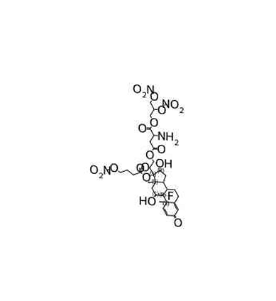 C[C@]12C=CC(=O)C=C1CCC1C3C[C@@H](O)[C@](OC(=O)CCCO[N+](=O)[O-])(C(=O)COC(=O)CC(N)C(=O)OCC(CO[N+](=O)[O-])O[N+](=O)[O-])[C@@]3(C)C[C@H](O)[C@@]12F